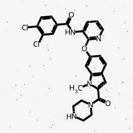 Cn1c(C(=O)N2CCNCC2)cc2ccc(Oc3ncccc3NC(=O)c3ccc(Cl)c(Cl)c3)cc21